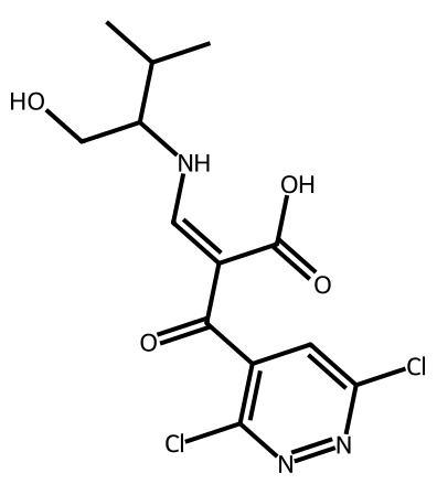 CC(C)C(CO)N/C=C(\C(=O)O)C(=O)c1cc(Cl)nnc1Cl